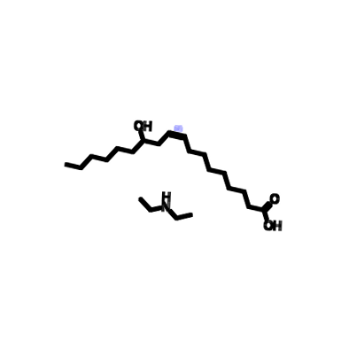 CCCCCCC(O)C/C=C\CCCCCCCC(=O)O.CCNCC